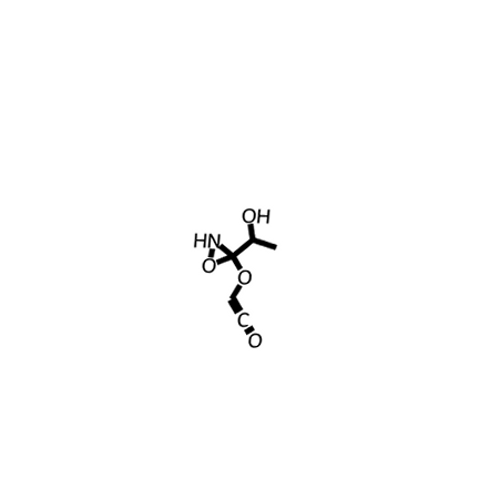 CC(O)C1(OC=C=O)NO1